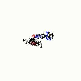 CC(C)(C)c1cc(C(=O)N2CCN(c3ccc(NC(=N)C4=CC=CCC4=S)cc3)CC2)cc(C(C)(C)C)c1O